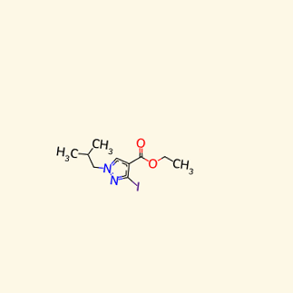 CCOC(=O)c1cn(CC(C)C)nc1I